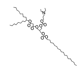 CCCCCCCCCCCCCCCCCCOC(=O)OCC(COC(=O)CC(=O)OC(CCCCCCCC)CCCCCCCC)COC(=O)OCCCN(CC)CC